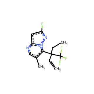 C=CC(CC)(c1c(C)cnc2cc(F)nn12)C(F)(F)F